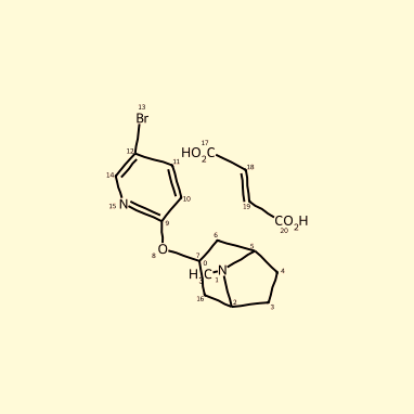 CN1C2CCC1CC(Oc1ccc(Br)cn1)C2.O=C(O)/C=C/C(=O)O